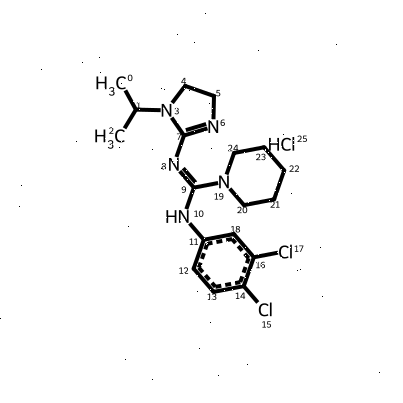 CC(C)N1CCN=C1/N=C(/Nc1ccc(Cl)c(Cl)c1)N1CCCCC1.Cl